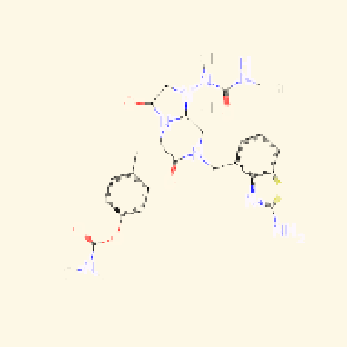 CCCCNC(=O)N(C)N1CC(=O)N2[C@@H](Cc3ccc(OC(=O)N(C)C)cc3)C(=O)N(Cc3cccc4sc(N)nc34)C[C@@H]21